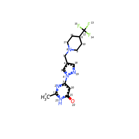 Cc1nc(-n2cc(CN3CCC(C(F)(F)F)CC3)cn2)cc(=O)[nH]1